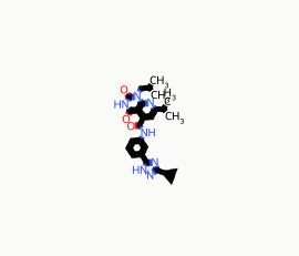 CC(C)Cn1c(=O)[nH]c(=O)c2c(C(=O)Nc3cccc(-c4nc(C5CC5)n[nH]4)c3)cc(C(C)C)nc21